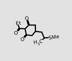 CCC(=O)C1C(=O)CC(CC(C)SC)CC1=O